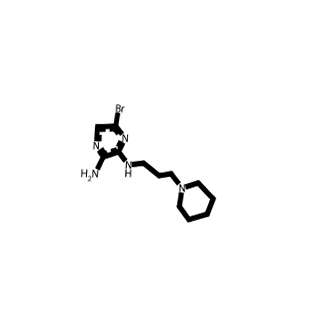 Nc1ncc(Br)nc1NCCCN1CCCCC1